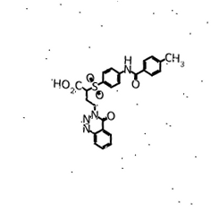 Cc1ccc(C(=O)Nc2ccc(S(=O)(=O)C(CCn3nnc4ccccc4c3=O)C(=O)O)cc2)cc1